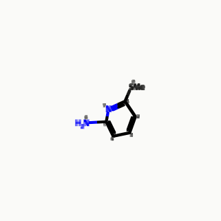 CSc1cccc(N)n1